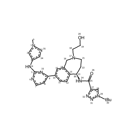 Cn1cc(Nc2nccc(-c3ccc4c(c3)CN(CCO)CC[C@H]4NC(=O)c3cn(C(C)(C)C)nn3)n2)cn1